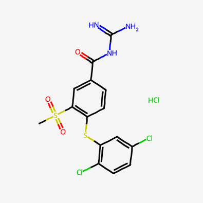 CS(=O)(=O)c1cc(C(=O)NC(=N)N)ccc1Sc1cc(Cl)ccc1Cl.Cl